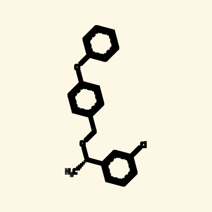 C[C@H](OCc1ccc(Oc2ccccc2)cc1)c1cccc(Cl)c1